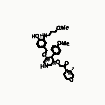 COCCCNc1cc(CO[C@H]2CNC[C@@H](OCC(=O)N3CCOC[C@H]3C)C2c2ccc(OC)cc2)ccc1O